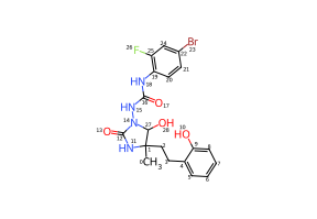 CC1(CCc2ccccc2O)NC(=O)N(NC(=O)Nc2ccc(Br)cc2F)C1O